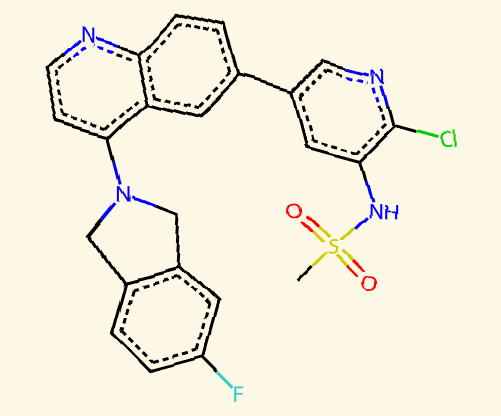 CS(=O)(=O)Nc1cc(-c2ccc3nccc(N4Cc5ccc(F)cc5C4)c3c2)cnc1Cl